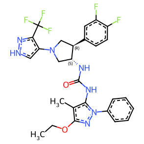 CCOc1nn(-c2ccccc2)c(NC(=O)N[C@@H]2CN(c3c[nH]nc3C(F)(F)F)C[C@H]2c2ccc(F)c(F)c2)c1C